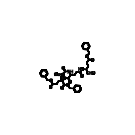 CC(C)(C)OC(=O)NC(CCC(=O)NC(C=O)CCC(=O)OCc1ccccc1)C(=O)NC(CCC(=O)OCc1ccccc1)C(=O)OCc1ccccc1